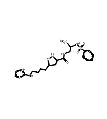 O=C(O)C(CNC(=O)C1CC(CCCCNc2ncc[nH]2)ON1)NS(=O)(=O)c1ccccc1